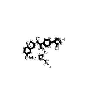 COc1ccc2c(c1)C[C@H](C(=O)c1cn(C[C@H]3CCN3CC(F)(F)F)c3cc(-c4c[nH]nc4Cl)ccc13)CO2